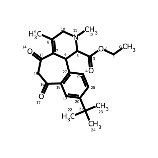 CCOC(=O)C1C2C(=C(C)CN1C)C(=O)CC(=O)c1cc(C(C)(C)C)ccc12